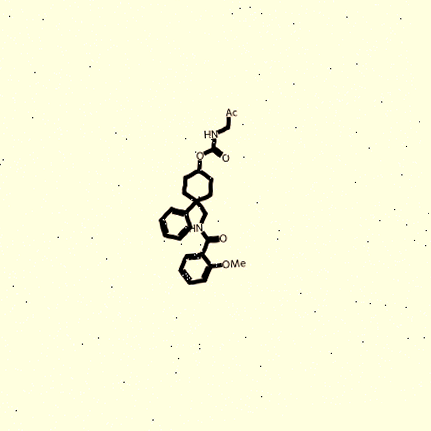 COc1ccccc1C(=O)NCC1(c2ccccc2)CCC(OC(=O)NCC(C)=O)CC1